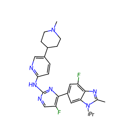 Cc1nc2c(F)cc(-c3nc(Nc4ccc(C5CCN(C)CC5)cn4)ncc3F)cc2n1C(C)C